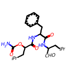 CC(C)CC(C=O)NC(=O)C(Cc1ccccc1)NC(=O)C(CC(C)C)OC(N)=O